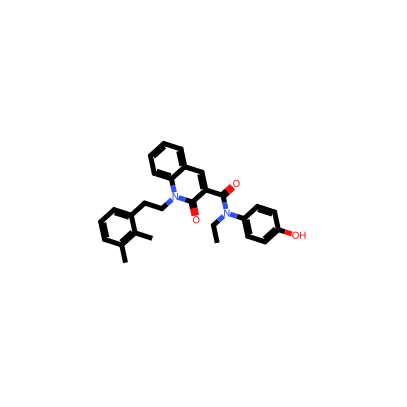 CCN(C(=O)c1cc2ccccc2n(CCc2cccc(C)c2C)c1=O)c1ccc(O)cc1